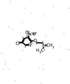 CN(C)CCOc1ncc(Cl)cc1[N+](=O)[O-]